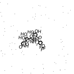 NC(=O)[C@H](O[C@H]1OC(C(=O)Nc2ccc(OC(F)(F)F)cc2)=C[C@H](O)[C@@H]1O)[C@H]1O[C@@H](n2ccc(=O)[nH]c2=O)[C@H](O)[C@@H]1CO